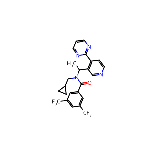 CC(c1cnccc1-c1ncccn1)N(CC1CC1)C(=O)c1cc(C(F)(F)F)cc(C(F)(F)F)c1